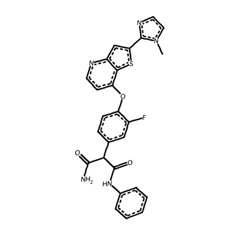 Cn1ccnc1-c1cc2nccc(Oc3ccc(C(C(N)=O)C(=O)Nc4ccccc4)cc3F)c2s1